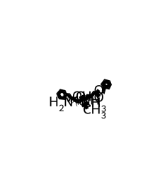 CC(C)C[C@H](C[C@H](O)[C@@H](N)CC1CCCCC1)C(=O)NCCCC(=O)OCc1ccccc1